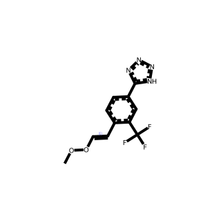 COO/C=C/c1ccc(-c2nnn[nH]2)cc1C(F)(F)F